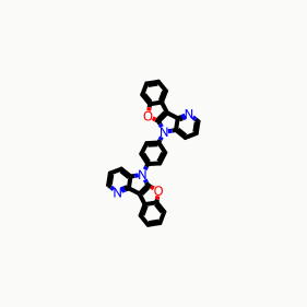 c1ccc2c(c1)oc1c2c2ncccc2n1-c1ccc(-n2c3cccnc3c3c4ccccc4oc32)cc1